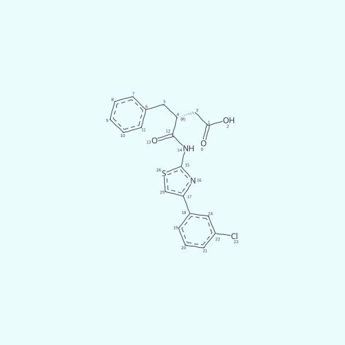 O=C(O)C[C@@H](Cc1ccccc1)C(=O)Nc1nc(-c2cccc(Cl)c2)cs1